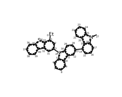 CCc1cc(-n2c3ccccc3c3cc(-c4cccc5c4c4ccccc4n5C)ccc32)cc2c1sc1ccccc12